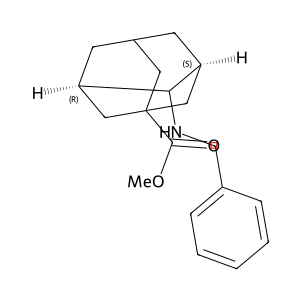 COC(=O)C12CC3C[C@H](C1)C(NCc1ccccc1)[C@@H](C3)C2